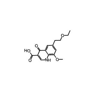 CCOCCc1cc(OC)c2[nH]cc(C(=O)O)c(=O)c2c1